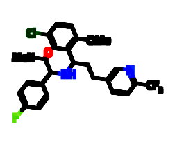 CNC(=O)C(NC(CCc1ccc(C(F)(F)F)nc1)c1cc(Cl)ccc1OC)c1ccc(F)cc1